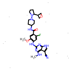 CNc1nc(Nc2cc(F)c(C(=O)NC3CCN(N4CCCC4C4COC4)CC3)cc2OC)nc2[nH]cc(C#N)c12